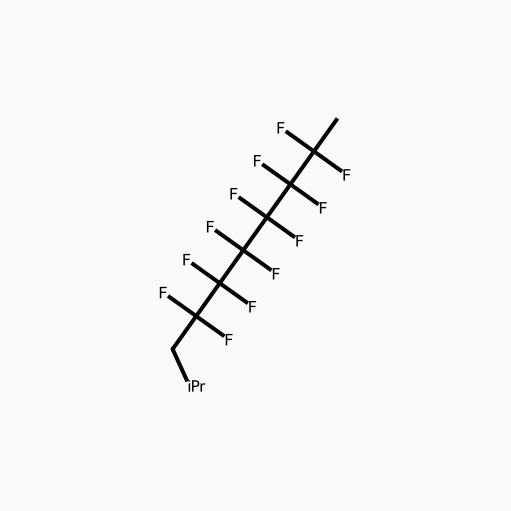 CC(C)CC(F)(F)C(F)(F)C(F)(F)C(F)(F)C(F)(F)C(C)(F)F